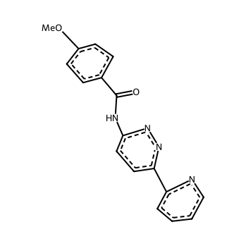 COc1ccc(C(=O)Nc2ccc(-c3ccccn3)nn2)cc1